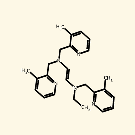 CCN(C=CN(Cc1ncccc1C)Cc1ncccc1C)Cc1ncccc1C